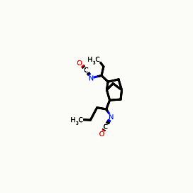 CCCC(N=C=O)C1CC2CC(C(CC)N=C=O)C1C2